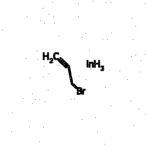 C=CCBr.[InH3]